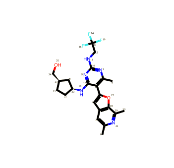 Cc1cc2cc(-c3c(C)nc(NCC(F)(F)F)nc3N[C@H]3CC[C@@H](CO)C3)oc2c(C)n1